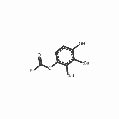 CCC(=O)Oc1ccc(O)c(C(C)(C)C)c1C(C)(C)C